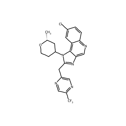 C[C@@H]1CC(n2c(Cc3cnc(C(F)(F)F)cn3)nc3cnc4ccc(Cl)cc4c32)CCO1